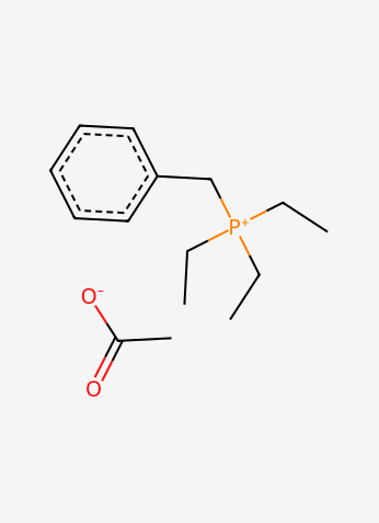 CC(=O)[O-].CC[P+](CC)(CC)Cc1ccccc1